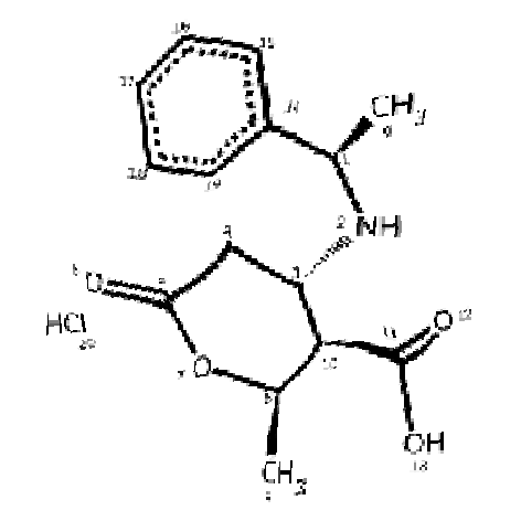 C[C@@H](N[C@H]1CC(=O)O[C@H](C)[C@@H]1C(=O)O)c1ccccc1.Cl